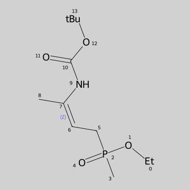 CCOP(C)(=O)C/C=C(/C)NC(=O)OC(C)(C)C